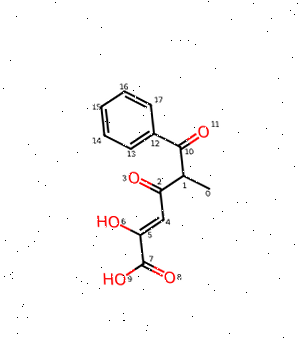 CC(C(=O)/C=C(\O)C(=O)O)C(=O)c1ccccc1